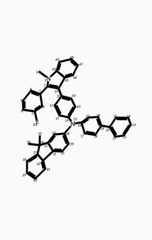 Cn1c(-c2cccc(F)c2)c(-c2ccc(N(c3ccc(-c4ccccc4)cc3)c3ccc4c(c3)C(C)(C)c3ccccc3-4)cc2)c2ccccc21